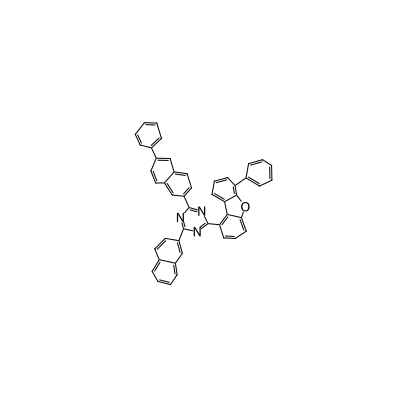 c1ccc(-c2ccc3cc(-c4nc(-c5ccc6ccccc6c5)nc(-c5cccc6oc7c(-c8ccccc8)cccc7c56)n4)ccc3c2)cc1